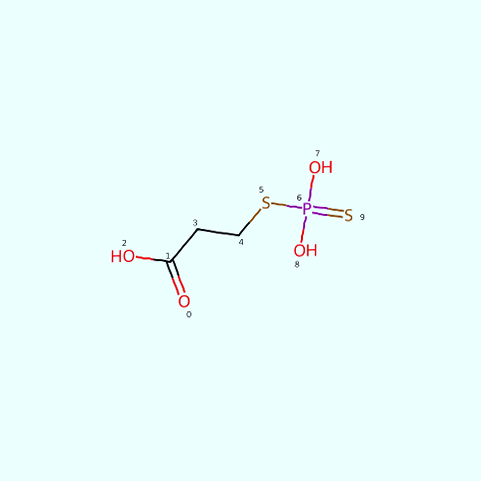 O=C(O)CCSP(O)(O)=S